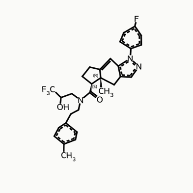 Cc1ccc(CCN(CC(O)C(F)(F)F)C(=O)[C@H]2CCC3=Cc4c(cnn4-c4ccc(F)cc4)C[C@@]32C)cc1